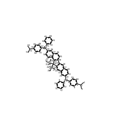 CC(C)c1ccc(N(c2ccccc2)c2ccc3cc4c(cc3c2)C([Si](C)(C)C)([Si](C)(C)C)c2c-4ccc3cc(N(c4ccccc4)c4ccc(C(C)C)cc4)ccc23)cc1